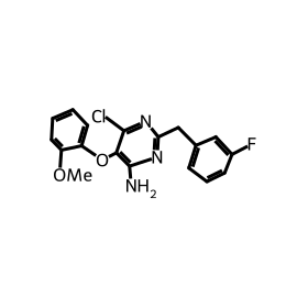 COc1ccccc1Oc1c(N)nc(Cc2cccc(F)c2)nc1Cl